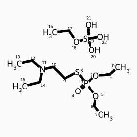 CCOP(=O)(OCC)SCCN(CC)CC.CCO[Si](O)(O)O